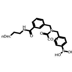 CCCCCCCCCCCCNC(=O)c1cccc(CN(Cc2ccc(N(O)O)cc2)C(=O)C(=O)O)c1